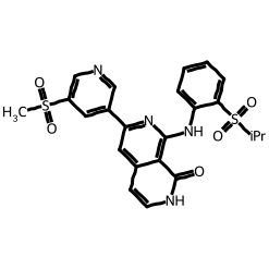 CC(C)S(=O)(=O)c1ccccc1Nc1nc(-c2cncc(S(C)(=O)=O)c2)cc2cc[nH]c(=O)c12